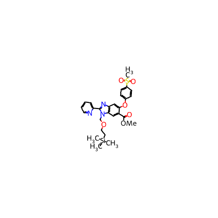 COC(=O)c1cc2c(cc1Oc1ccc(S(C)(=O)=O)cc1)nc(-c1ccccn1)n2COCC[Si](C)(C)C